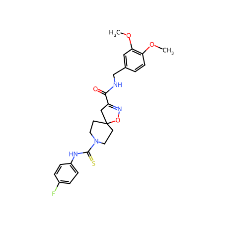 COc1ccc(CNC(=O)C2=NOC3(CCN(C(=S)Nc4ccc(F)cc4)CC3)C2)cc1OC